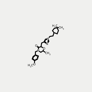 COc1ccc(CN2CC(C)OC(Cc3cn(CCC4CCC(C)(C)CC4)cn3)C2=O)cc1